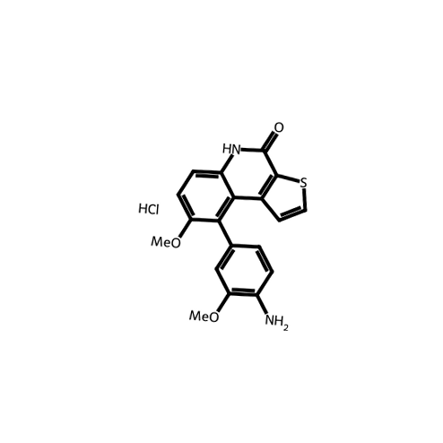 COc1cc(-c2c(OC)ccc3[nH]c(=O)c4sccc4c23)ccc1N.Cl